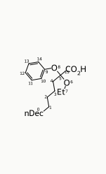 CCCCCCCCCCCCCCC(OCC)(Oc1ccccc1)C(=O)O